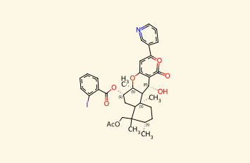 CC(=O)OCC1(C)C2C[C@H](OC(=O)c3ccccc3I)[C@@]3(C)Oc4cc(-c5cccnc5)oc(=O)c4[C@H](O)C3[C@@]2(C)CC[C@@H]1C